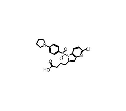 O=C(O)CCCc1cc2nc(Cl)ccc2n1S(=O)(=O)c1ccc(N2CCCC2)cc1